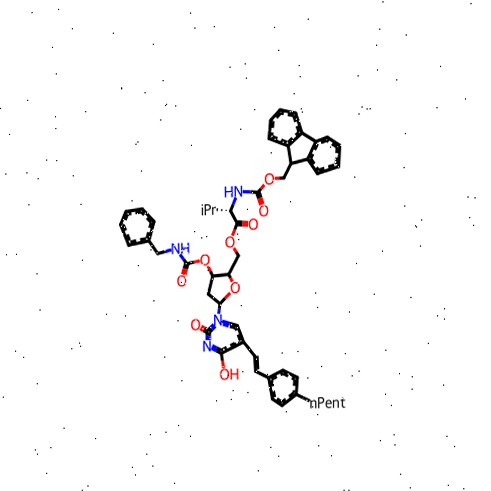 CCCCCc1ccc(/C=C/c2cn(C3CC(OC(=O)NCc4ccccc4)C(COC(=O)[C@@H](NC(=O)OCC4c5ccccc5-c5ccccc54)C(C)C)O3)c(=O)nc2O)cc1